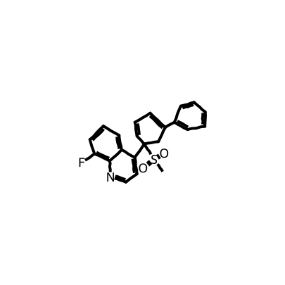 CS(=O)(=O)C1(c2ccnc3c(F)cccc23)C=CC=C(c2ccccc2)C1